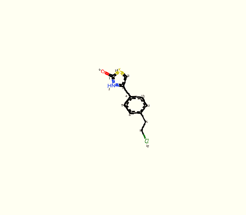 O=c1[nH]c(-c2ccc(CCCl)cc2)cs1